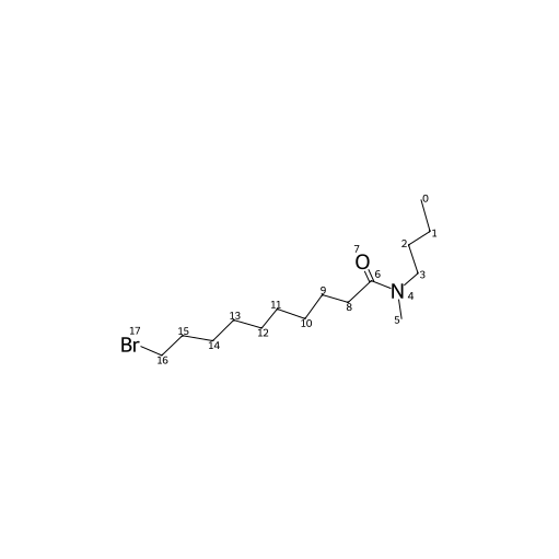 CCCCN(C)C(=O)CCCCCCCCCBr